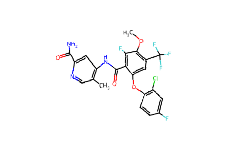 COc1c(C(F)(F)F)cc(Oc2ccc(F)cc2Cl)c(C(=O)Nc2cc(C(N)=O)ncc2C)c1F